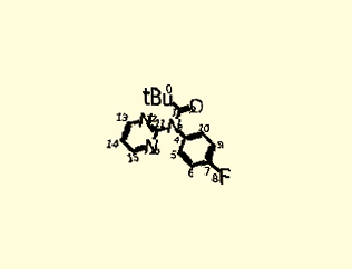 CC(C)(C)C(=O)N(c1ccc(F)cc1)c1ncccn1